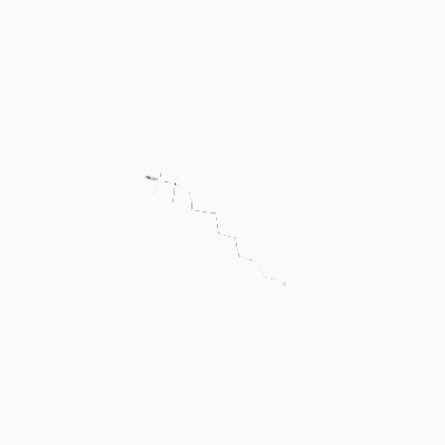 CCCCCCCCCCCCCCCCCCC(CC)(C(=O)OCC)P(=O)(O)O